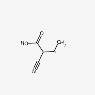 C[C]C(C#N)C(=O)O